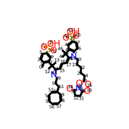 Cc1ccc(S(=O)(=O)O)cc1C(C)(C)C(/C=C/C=C1/N(CCCCCC(=O)ON2C(=O)CCC2=O)c2ccc(S(=O)(=O)O)cc2C1(C)C)=N/CCCC1=C/C=C\C=C/C=C\1